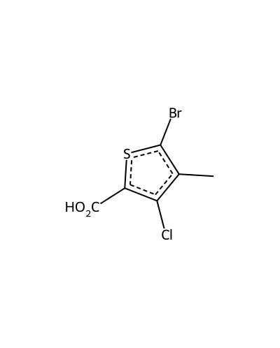 Cc1c(Br)sc(C(=O)O)c1Cl